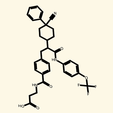 N#CC1(c2ccccc2)CCC(C(Cc2ccc(C(=O)NCCC(=O)O)cc2)C(=O)Nc2ccc(OC(F)(F)F)cc2)CC1